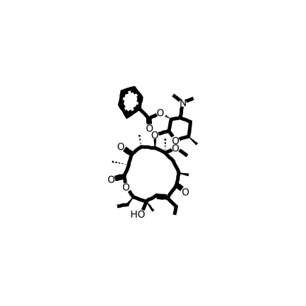 CC/C1=C\[C@](C)(O)[C@@H](CC)OC(=O)[C@H](C)C(=O)[C@H](C)[C@@H](OC2O[C@H](C)CC(N(C)C)[C@H]2OC(=O)c2ccccc2)[C@@](C)(OC)C[C@@H](C)C1=O